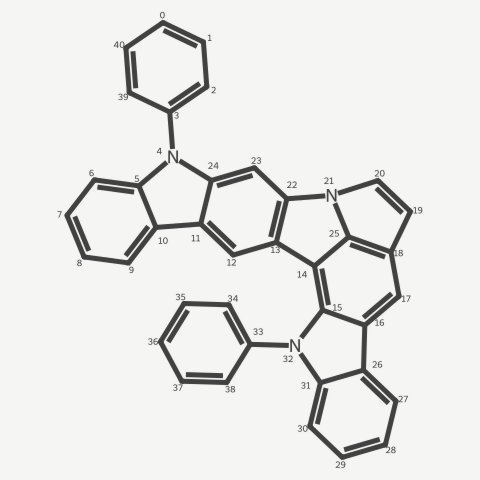 c1ccc(-n2c3ccccc3c3cc4c5c6c(cc7ccn(c4cc32)c75)c2ccccc2n6-c2ccccc2)cc1